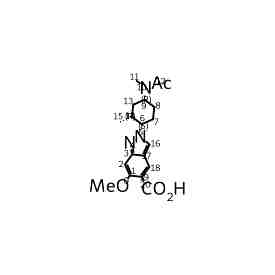 COc1cc2nn([C@H]3CC[C@@H](N(C)C(C)=O)C[C@H]3C)cc2cc1C(=O)O